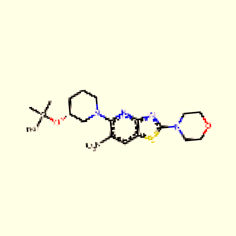 CC(C)(C)[Si](C)(C)O[C@@H]1CCCN(c2nc3nc(N4CCOCC4)sc3cc2[N+](=O)[O-])C1